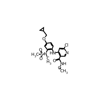 CONC(=O)c1cnc(Cl)cc1Nc1ccc(OCC2CC2)cc1N(C)S(C)(=O)=O